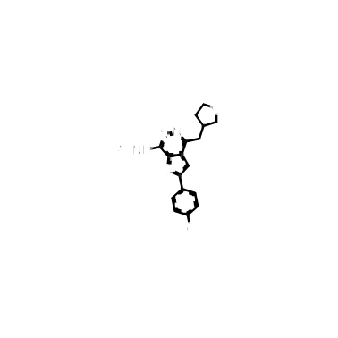 CC(=O)Nc1nnc(CC2CCOC2)c2cc(-c3ccc(Cl)cc3)sc12